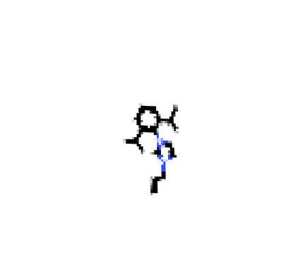 C=CC[n+]1ccn(-c2c(C(C)C)cccc2C(C)C)c1